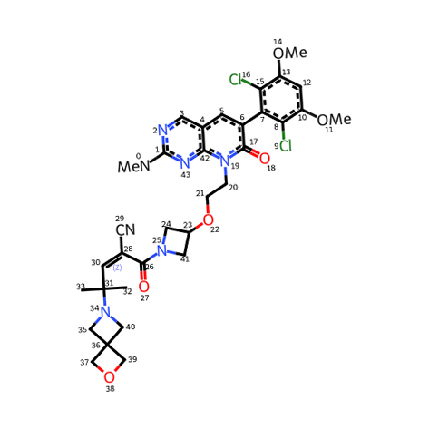 CNc1ncc2cc(-c3c(Cl)c(OC)cc(OC)c3Cl)c(=O)n(CCOC3CN(C(=O)/C(C#N)=C\C(C)(C)N4CC5(COC5)C4)C3)c2n1